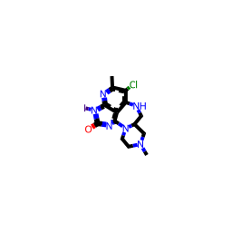 Cc1nc2c3c(nc(=O)n2I)N2CCN(C)CC2CNc3c1Cl